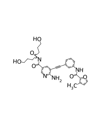 Cc1ccoc1C(=O)Nc1cccc(C#Cc2cc(C(=O)N=S(=O)(CCCO)CCCO)cnc2N)c1